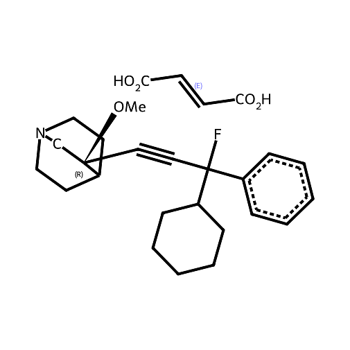 CO[C@]1(C#CC(F)(c2ccccc2)C2CCCCC2)CN2CCC1CC2.O=C(O)/C=C/C(=O)O